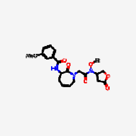 CCON(C(=O)CN1CC=CCC(NC(=O)c2cccc(OC)c2)C1=O)C1COC(=O)C1